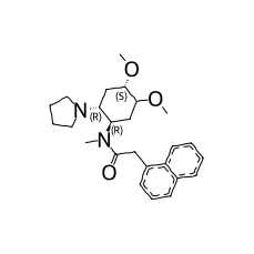 COC1C[C@@H](N(C)C(=O)Cc2cccc3ccccc23)[C@H](N2CCCC2)C[C@@H]1OC